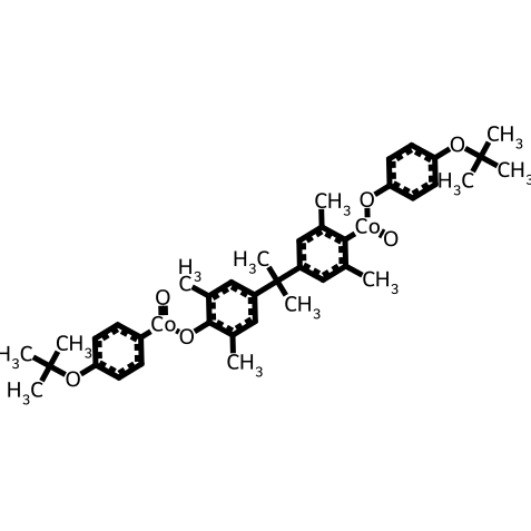 Cc1cc(C(C)(C)c2cc(C)[c]([Co](=[O])[O]c3ccc(OC(C)(C)C)cc3)c(C)c2)cc(C)c1[O][Co](=[O])[c]1ccc(OC(C)(C)C)cc1